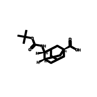 CC(C)(C)OC(=O)N[C@@H]1C2CC3C[C@H]1C[C@@](C(=O)O)(C3)C2